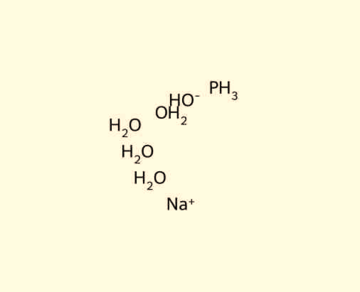 O.O.O.O.P.[Na+].[OH-]